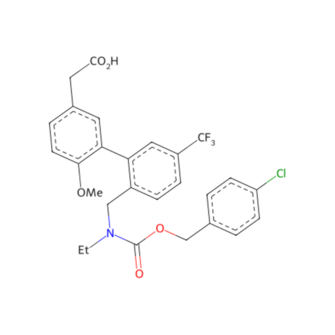 CCN(Cc1ccc(C(F)(F)F)cc1-c1cc(CC(=O)O)ccc1OC)C(=O)OCc1ccc(Cl)cc1